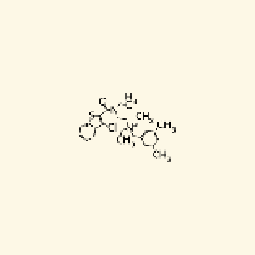 CCN(CC[N+](CC)(CC)Cc1cc(C)cc(C)c1)C(=O)c1sc2ccccc2c1Cl